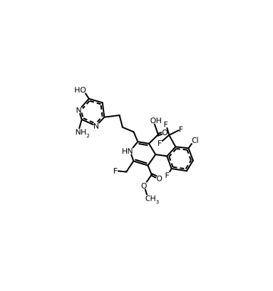 COC(=O)C1=C(CF)NC(CCCc2cc(O)nc(N)n2)=C(C(=O)O)C1c1c(F)ccc(Cl)c1C(F)(F)F